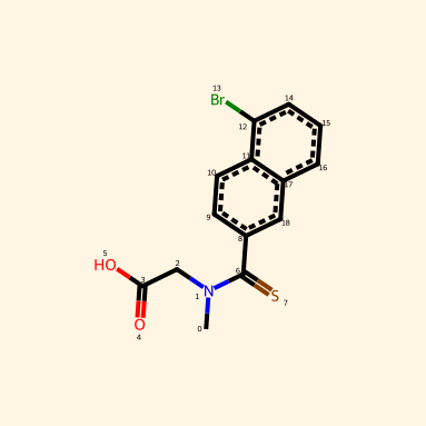 CN(CC(=O)O)C(=S)c1ccc2c(Br)cccc2c1